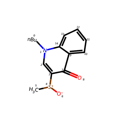 CCCCn1cc([S+](C)[O-])c(=O)c2ccccc21